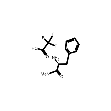 CNC(=O)[C@@H](N)Cc1ccccc1.O=C(O)C(F)(F)F